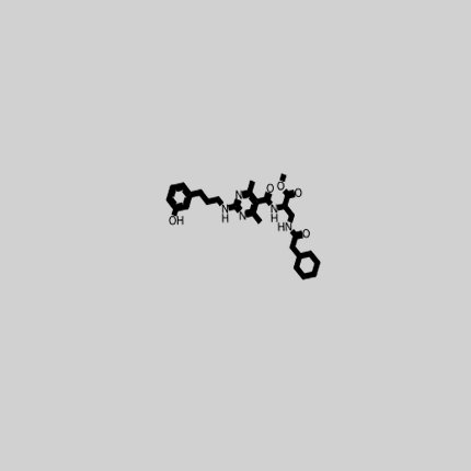 COC(=O)C(CNC(=O)CC1CCCCC1)NC(=O)c1c(C)nc(NCCCc2cccc(O)c2)nc1C